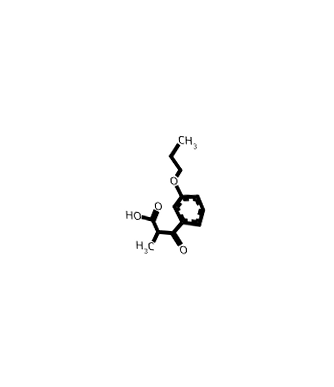 CCCOc1cccc(C(=O)C(C)C(=O)O)c1